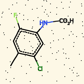 Cc1cc(F)c(NC(=O)O)cc1Cl